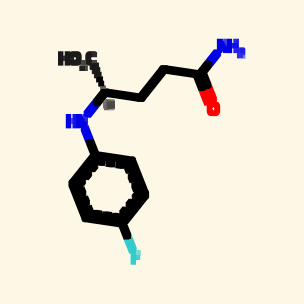 NC(=O)CC[C@H](Nc1ccc(F)cc1)C(=O)O